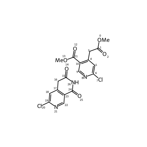 COC(=O)Cc1cc(Cl)ncc1C(=O)OC.O=C1Cc2cc(Cl)ncc2C(=O)N1